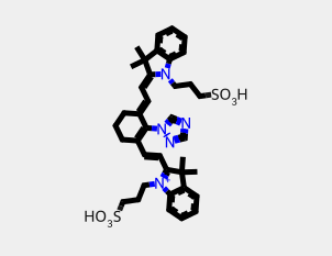 CC1(C)C(/C=C/C2=C(n3cncn3)C(=C/C=C3\N(CCCS(=O)(=O)O)c4ccccc4C3(C)C)/CCC2)=[N+](CCCS(=O)(=O)O)c2ccccc21